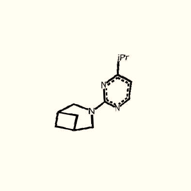 CC(C)c1ccnc(N2CC3CC(C3)C2)n1